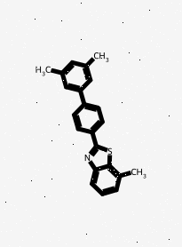 Cc1cc(C)cc(-c2ccc(-c3nc4cccc(C)c4s3)cc2)c1